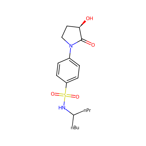 CCCCC(CCC)NS(=O)(=O)c1ccc(N2CC[C@@H](O)C2=O)cc1